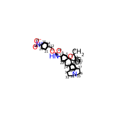 C=C1OC2(c3ccc(NC(=O)OCc4ccc([N+](=O)[O-])cc4)cc3Cc3c2cc2c4c3CCCN4CCC2)c2ccccc21